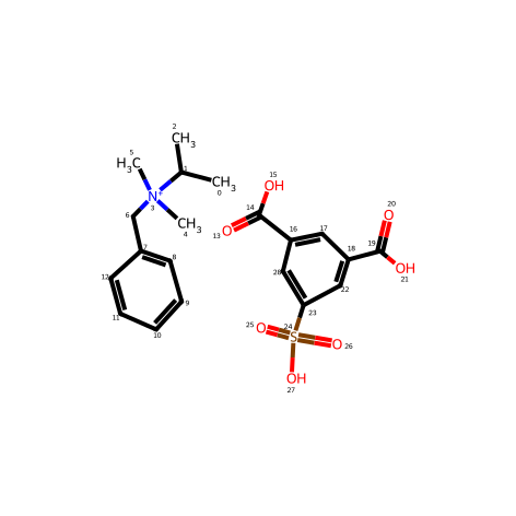 CC(C)[N+](C)(C)Cc1ccccc1.O=C(O)c1cc(C(=O)O)cc(S(=O)(=O)O)c1